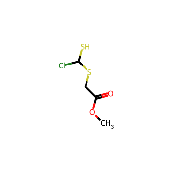 COC(=O)CSC(S)Cl